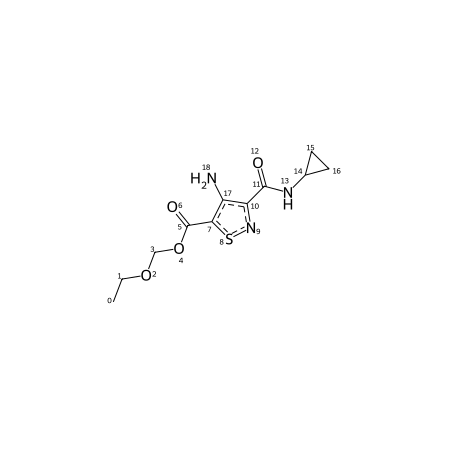 CCOCOC(=O)c1snc(C(=O)NC2CC2)c1N